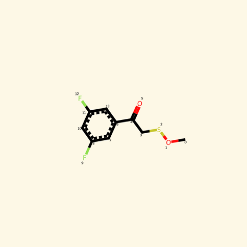 COSCC(=O)c1cc(F)cc(F)c1